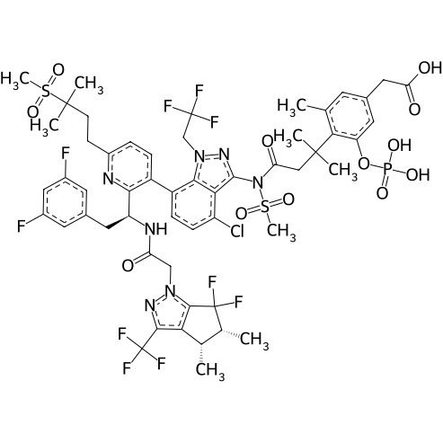 Cc1cc(CC(=O)O)cc(OP(=O)(O)O)c1C(C)(C)CC(=O)N(c1nn(CC(F)(F)F)c2c(-c3ccc(CCC(C)(C)S(C)(=O)=O)nc3[C@H](Cc3cc(F)cc(F)c3)NC(=O)Cn3nc(C(F)(F)F)c4c3C(F)(F)[C@H](C)[C@@H]4C)ccc(Cl)c12)S(C)(=O)=O